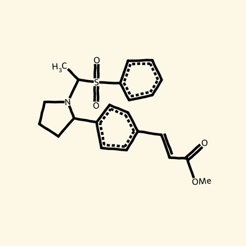 COC(=O)C=Cc1ccc(C2CCCN2C(C)S(=O)(=O)c2ccccc2)cc1